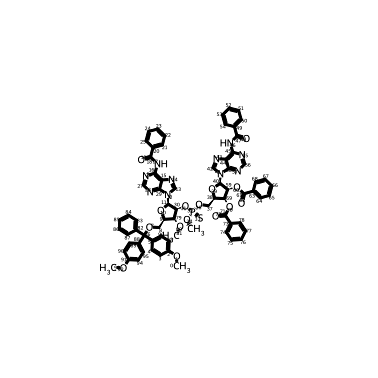 COc1ccc(C(OC[C@H]2O[C@@H](n3cnc4c(NC(=O)c5ccccc5)ncnc43)[C@H](OP(=S)(OC)OC[C@H]3O[C@@H](n4cnc5c(NC(=O)c6ccccc6)ncnc54)[C@H](OC(=O)c4ccccc4)[C@@H]3OC(=O)c3ccccc3)[C@@H]2OC)(c2ccccc2)c2ccc(OC)cc2)cc1